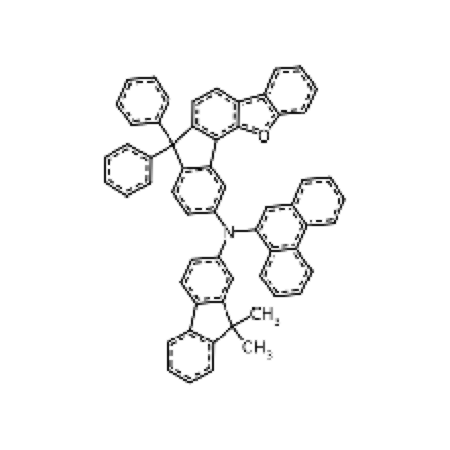 CC1(C)c2ccccc2-c2ccc(N(c3ccc4c(c3)-c3c(ccc5c3oc3ccccc35)C4(c3ccccc3)c3ccccc3)c3cc4ccccc4c4ccccc34)cc21